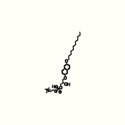 CCCCCCCCCCCCOc1ccc2cc(OCC(O)COP(=O)(O)OCC[N+](C)(C)C)ccc2c1